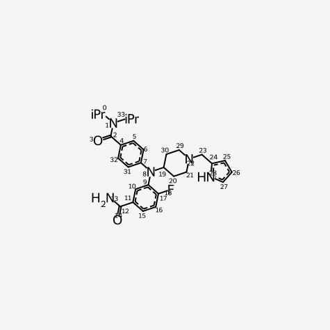 CC(C)N(C(=O)c1ccc(N(c2cc(C(N)=O)ccc2F)C2CCN(Cc3ccc[nH]3)CC2)cc1)C(C)C